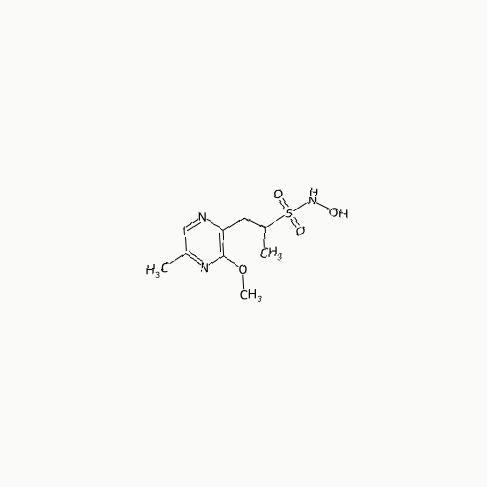 COc1nc(C)cnc1CC(C)S(=O)(=O)NO